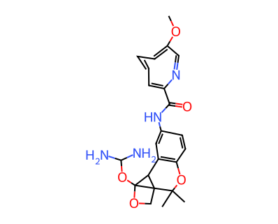 COC1=C\C=C\C=C(C(=O)Nc2ccc3c(c2)C2C4(OC(N)N)OCC24C(C)(C)O3)/N=C\1